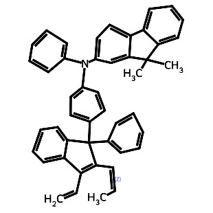 C=CC1=C(/C=C\C)C(c2ccccc2)(c2ccc(N(c3ccccc3)c3ccc4c(c3)C(C)(C)c3ccccc3-4)cc2)c2ccccc21